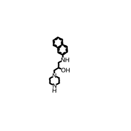 OC(CNc1ccc2ccccc2c1)CN1CCNCC1